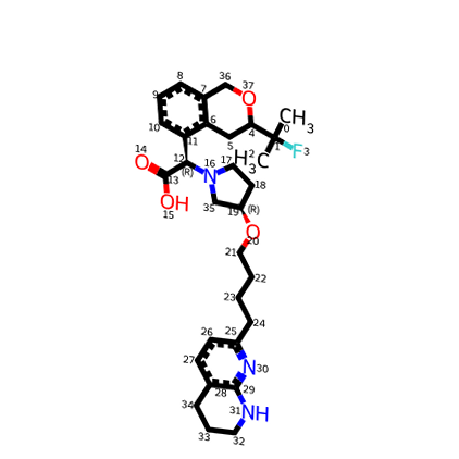 CC(C)(F)C1Cc2c(cccc2[C@H](C(=O)O)N2CC[C@@H](OCCCCc3ccc4c(n3)NCCC4)C2)CO1